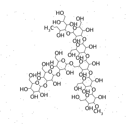 CCC(O)C(OC1OC(CO)C(O)C(OC2OC(CO)C(O)C(OC3OC(COC4OC(CO)C(O)C(OC5OC(CO)C(O)C(OC6OC(CO)C(O)C(O)C6O)C5O)C4O)C(O)C(OC4OC(CO)C(O)C(OC5OC(CO)C(O)C(OC)C5O)C4O)C3O)C2O)C1O)C(O)C(O)CO